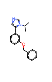 CC(C)n1cncc1-c1cccc(OCc2ccccc2)c1